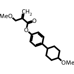 C=C(COC)C(=O)Oc1ccc(C2CCC(OC)CC2)cc1